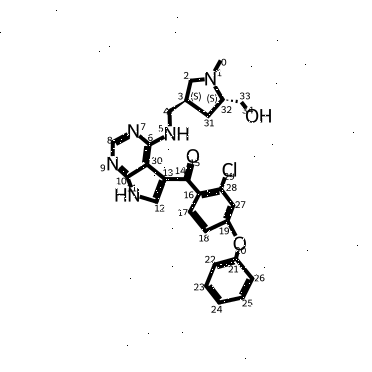 CN1C[C@H](CNc2ncnc3[nH]cc(C(=O)c4ccc(Oc5ccccc5)cc4Cl)c23)C[C@H]1CO